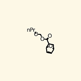 CCCOCOC(=O)C1CC2C=CC1O2